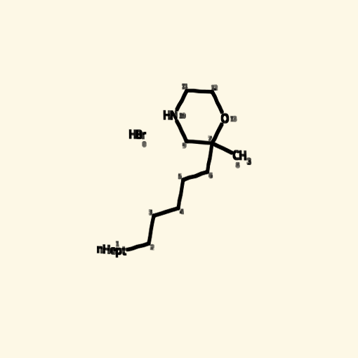 Br.CCCCCCCCCCCCC1(C)CNCCO1